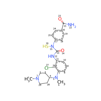 CN1CCC(N(C)c2cccc(NC(=O)N(S)c3ccc(C(N)=O)cc3)c2Cl)CC1